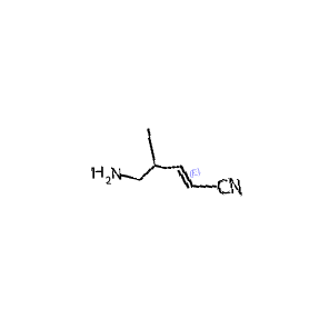 CC(/C=C/C#N)CN